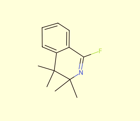 CC1(C)N=C(F)c2ccccc2C1(C)C